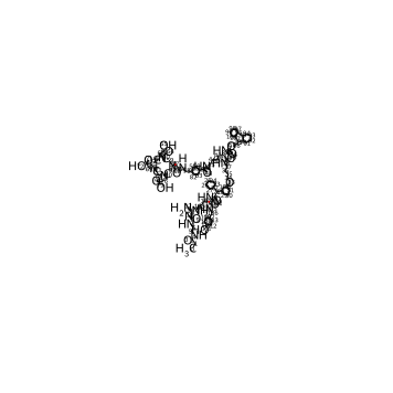 CCC(=O)NCCNC(=O)/N=C(/N)NCCC[C@@H](NC(=O)C(c1ccccc1)c1cccc(OCCCCNC(=O)[C@@H](CCCCNC(=O)c2ccc(CNC(=O)CN3CCN(CC(=O)O)CCN(CC(=O)O)CCN(CC(=O)O)CC3)cc2)NC(=O)OCC2c3ccccc3-c3ccccc32)c1)C(=O)NCc1ccc(O)cc1